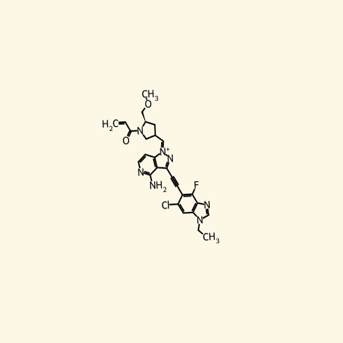 C=CC(=O)N1CC(/C=[N+]2/N=C(C#Cc3c(Cl)cc4c(ncn4CC)c3F)c3c2ccnc3N)C[C@@H]1COC